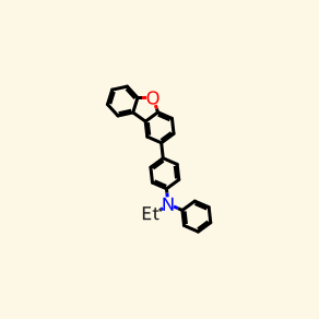 CCN(c1ccccc1)c1ccc(-c2ccc3oc4ccccc4c3c2)cc1